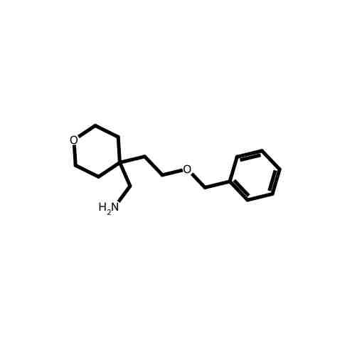 NCC1(CCOCc2ccccc2)CCOCC1